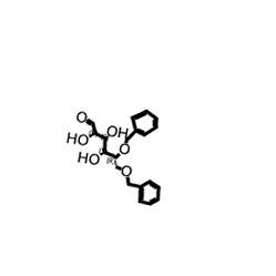 O=C[C@H](O)[C@@H](O)[C@H](O)[C@@H](COCc1ccccc1)OCc1ccccc1